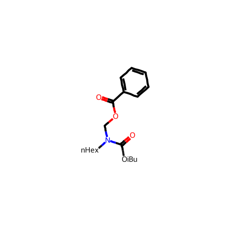 CCCCCCN(COC(=O)c1ccccc1)C(=O)OCC(C)C